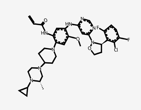 C=CC(=O)Nc1cc(Nc2cc(N3OCC[C@@H]3c3c(F)ccc(F)c3Cl)ncn2)c(OC)cc1N1CCC(N2CCN(C3CC3)[C@@H](C)C2)CC1